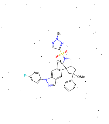 CCn1ncc(S(=O)(=O)N2CC3CC(OC)(c4ccccc4)CC3(c3cc4cnn(-c5ccc(F)cc5)c4cc3C)C2)n1